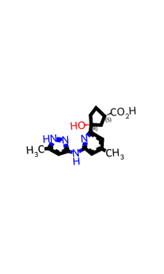 Cc1cc(Nc2cc(C)[nH]n2)nc([C@@]2(O)CC[C@H](C(=O)O)C2)c1